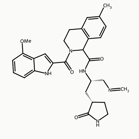 C=NC[C@H](C[C@@H]1CCNC1=O)NC(=O)C1c2ccc(C)cc2CCN1C(=O)c1cc2c(OC)cccc2[nH]1